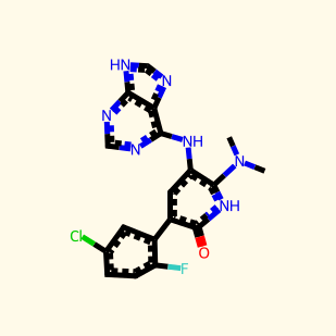 CN(C)c1[nH]c(=O)c(-c2cc(Cl)ccc2F)cc1Nc1ncnc2[nH]cnc12